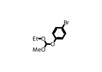 CCOC(OC)Oc1ccc(Br)cc1